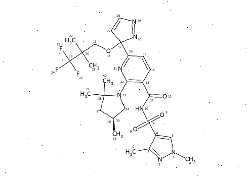 Cc1nn(C)cc1S(=O)(=O)NC(=O)c1ccc(C2(OCC(C)(C)C(F)(F)F)C=CN=N2)nc1N1C[C@@H](C)CC1(C)C